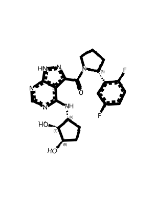 O=C(c1n[nH]c2ncnc(N[C@@H]3CC[C@@H](O)[C@H]3O)c12)N1CCC[C@@H]1c1cc(F)ccc1F